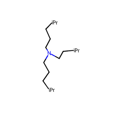 CC(C)CCCN(CCCC(C)C)CCC(C)C